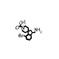 NCC1CC2(CCN(C(=O)O)CC2)c2c(Br)cccc21